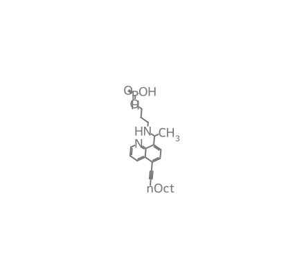 CCCCCCCCC#Cc1ccc(C(C)NCCCO[PH](=O)O)c2ncccc12